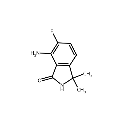 CC1(C)NC(=O)c2c1ccc(F)c2N